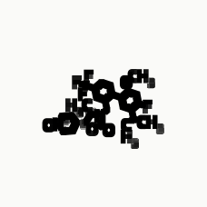 COc1cc(F)c(C(C)C)cc1-c1ccc(C(F)(F)F)cc1CN1C(=O)O[C@H](c2cc[n+]([O-])cc2)[C@@H]1C